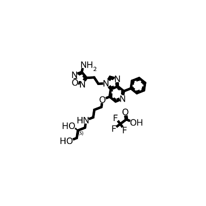 Nc1nonc1CCn1cnc2c(-c3ccccc3)ncc(OCCCNC[C@H](O)CO)c21.O=C(O)C(F)(F)F